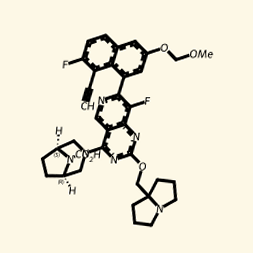 C#Cc1c(F)ccc2cc(OCOC)cc(-c3ncc4c(N5C[C@H]6CC[C@@H](C5)N6C(=O)O)nc(OCC56CCCN5CCC6)nc4c3F)c12